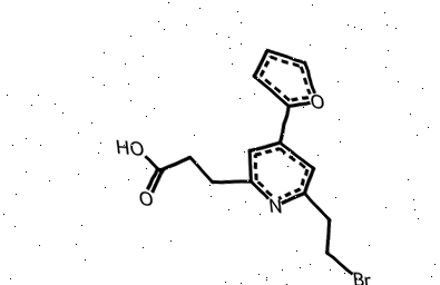 O=C(O)CCc1cc(-c2ccco2)cc(CCBr)n1